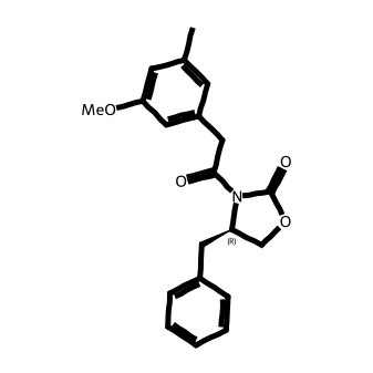 COc1cc(C)cc(CC(=O)N2C(=O)OC[C@H]2Cc2ccccc2)c1